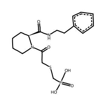 O=C(NCCc1ccccc1)[C@@H]1CCCCN1C(=O)CSCP(=O)(O)O